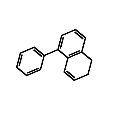 C1=Cc2c(cccc2-c2ccccc2)CC1